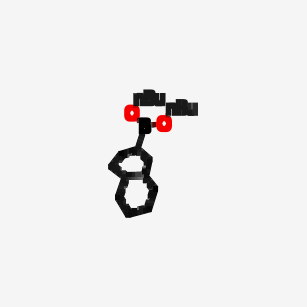 CCCCOB(OCCCC)c1ccc2ccccc2c1